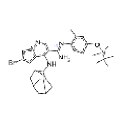 Cc1cc(O[Si](C)(C)C(C)(C)C)ccc1/N=C(\N)c1cnn2cc(Br)cc2c1NC1C2CC3CC(C2)CC1C3